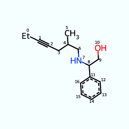 CCC#CCC(C)CNC(CO)c1ccccc1